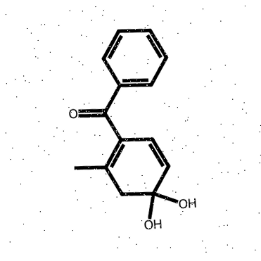 CC1=C(C(=O)c2ccccc2)C=CC(O)(O)C1